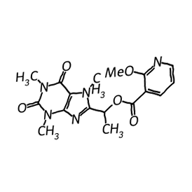 COc1ncccc1C(=O)OC(C)c1nc2c(c(=O)n(C)c(=O)n2C)n1C